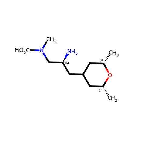 C[C@@H]1CC(C[C@H](N)CN(C)C(=O)O)C[C@H](C)O1